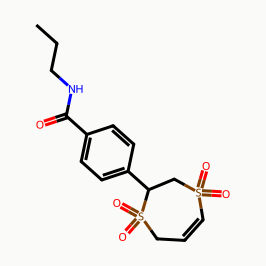 CCCNC(=O)c1ccc(C2CS(=O)(=O)C=CCS2(=O)=O)cc1